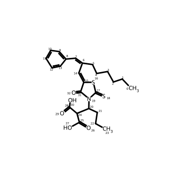 CCCCCCC(=Cc1ccccc1)C=C1SC(=S)N(C(CCC)C(C(=O)O)C(=O)O)C1=O